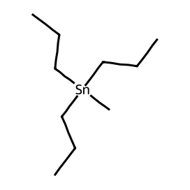 CC[CH2][Sn]([CH3])([CH2]CC)[CH2]CC